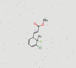 CC(=O)C1(F)C(Cl)=CC=CC1/C=C/C(=O)OC(C)(C)C